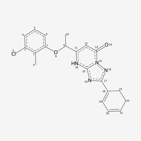 Cc1c(Cl)cccc1OC(C)c1cc(=O)n2nc(C3=CC=CCC3)nc2[nH]1